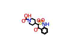 O=C1c2ccccc2NS(=O)(=O)C1C1CCN(C(=O)O)CC1